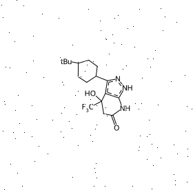 CC(C)(C)C1CCC(c2n[nH]c3c2C(O)(C(F)(F)F)CC(=O)N3)CC1